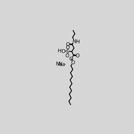 CCCCCCCCCCCCOOC(=O)C(CC(=O)NCCC)S(=O)(=O)O.[Na].[Na]